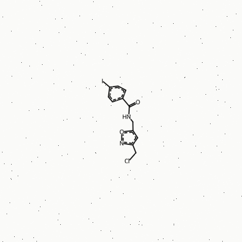 O=C(NCc1cc(CCl)no1)c1ccc(I)cc1